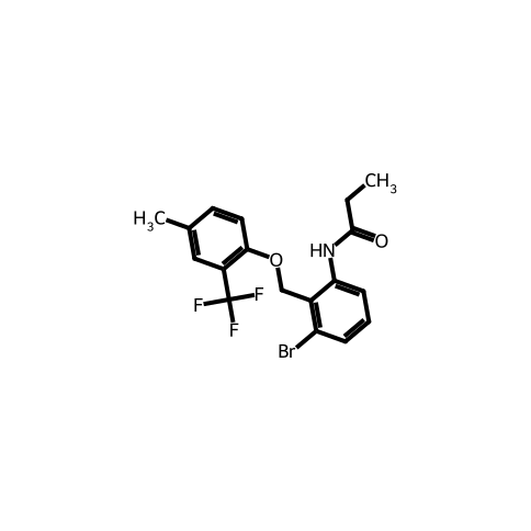 CCC(=O)Nc1cccc(Br)c1COc1ccc(C)cc1C(F)(F)F